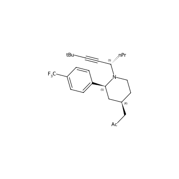 CCC[C@@H](C#CC(C)(C)C)N1CC[C@@H](CC(C)=O)C[C@H]1c1ccc(C(F)(F)F)cc1